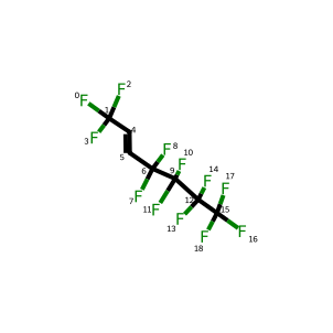 FC(F)(F)/C=C/C(F)(F)C(F)(F)C(F)(F)C(F)(F)F